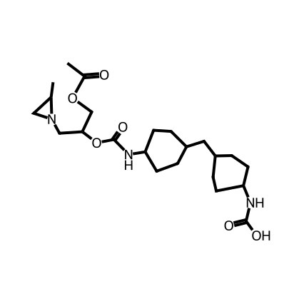 CC(=O)OCC(CN1CC1C)OC(=O)NC1CCC(CC2CCC(NC(=O)O)CC2)CC1